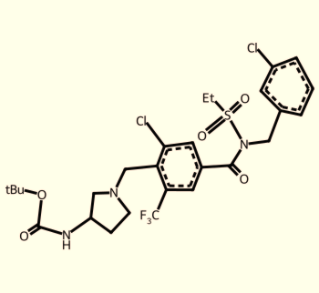 CCS(=O)(=O)N(Cc1cccc(Cl)c1)C(=O)c1cc(Cl)c(CN2CCC(NC(=O)OC(C)(C)C)C2)c(C(F)(F)F)c1